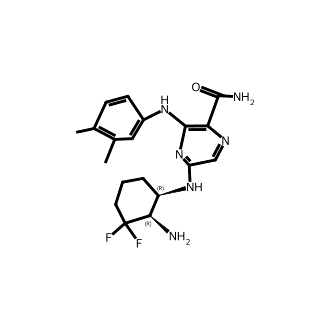 Cc1ccc(Nc2nc(N[C@@H]3CCCC(F)(F)[C@@H]3N)cnc2C(N)=O)cc1C